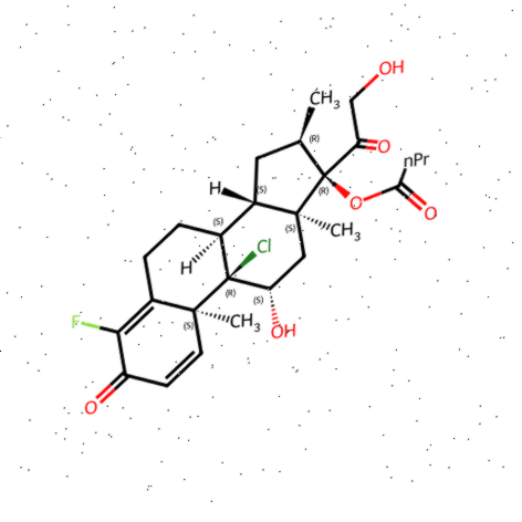 CCCC(=O)O[C@]1(C(=O)CO)[C@H](C)C[C@H]2[C@@H]3CCC4=C(F)C(=O)C=C[C@]4(C)[C@@]3(Cl)[C@@H](O)C[C@@]21C